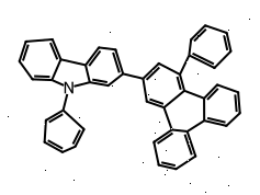 c1ccc(-c2cc(-c3ccc4c5ccccc5n(-c5ccccc5)c4c3)cc3c4ccccc4c4ccccc4c23)cc1